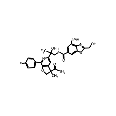 COc1cc(C(=O)NCC(O)(c2cc3c(c(-c4ccc(F)cc4)n2)OCC3(C)C(N)=O)C(F)(F)F)cc2sc(CO)nc12